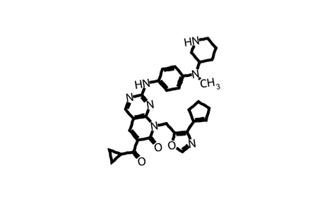 CN(c1ccc(Nc2ncc3cc(C(=O)C4CC4)c(=O)n(Cc4ocnc4C4=CCCC4)c3n2)cc1)C1CCCNC1